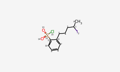 CC(I)CCCc1ccccc1S(=O)(=O)Cl